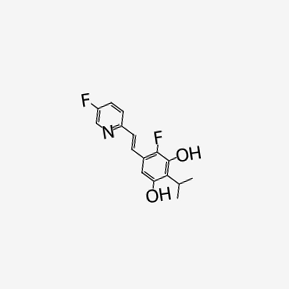 CC(C)c1c(O)cc(C=Cc2ccc(F)cn2)c(F)c1O